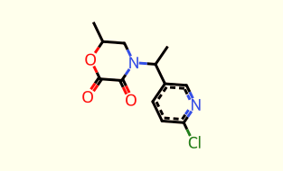 CC1CN(C(C)c2ccc(Cl)nc2)C(=O)C(=O)O1